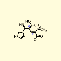 C=C/C(=C\C(C(=N)c1c[pH]cn1)=C(/C)O)[N+](=O)[O-]